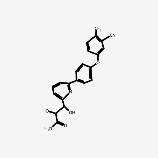 N#Cc1cc(Oc2ccc(-c3cccc(C(O)C(O)C(N)=O)n3)cc2)ccc1C(F)(F)F